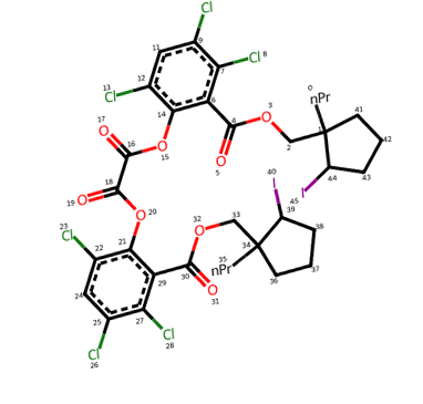 CCCC1(COC(=O)c2c(Cl)c(Cl)cc(Cl)c2OC(=O)C(=O)Oc2c(Cl)cc(Cl)c(Cl)c2C(=O)OCC2(CCC)CCCC2I)CCCC1I